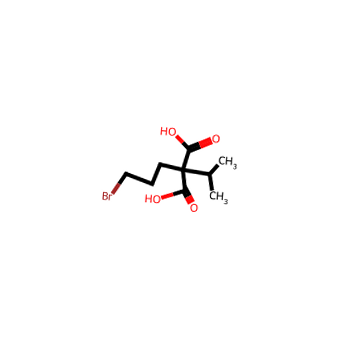 CC(C)C(CCCBr)(C(=O)O)C(=O)O